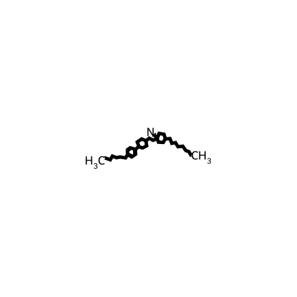 CCCCCCCCCC1CCC(C#N)(CCC2CCC(c3ccc(CCCCCCC)cc3)CC2)CC1